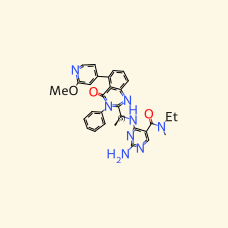 CCN(C)C(=O)c1cnc(N)nc1N[C@@H](C)c1nc2cccc(-c3ccnc(OC)c3)c2c(=O)n1-c1ccccc1